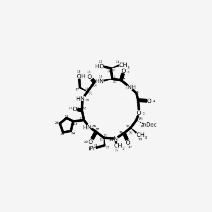 CCCCCCCCCC[C@H]1OC(=O)CNC(=O)[C@H]([C@H](C)O)NC(=O)[C@H](CO)NC(=O)C(C2CCCC2)NC(=O)[C@H](CC(C)C)N(C)C(=O)[C@@H]1C